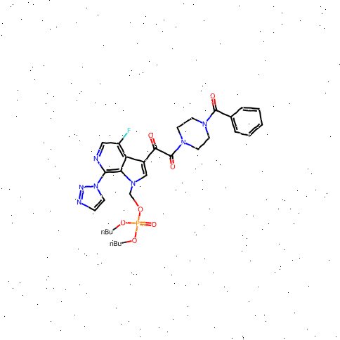 CCCCOP(=O)(OCCCC)OCn1cc(C(=O)C(=O)N2CCN(C(=O)c3ccccc3)CC2)c2c(F)cnc(-n3ccnn3)c21